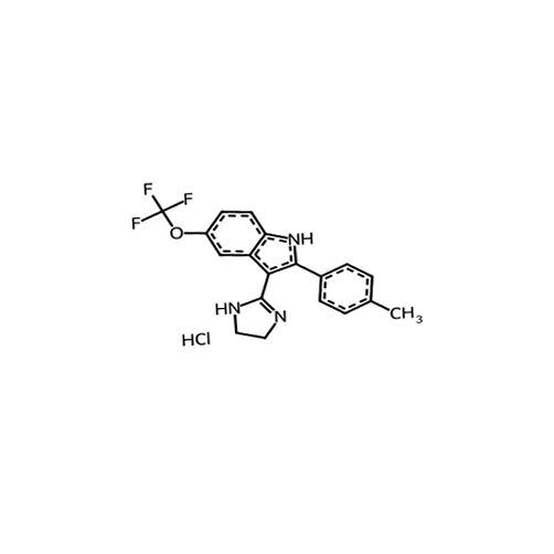 Cc1ccc(-c2[nH]c3ccc(OC(F)(F)F)cc3c2C2=NCCN2)cc1.Cl